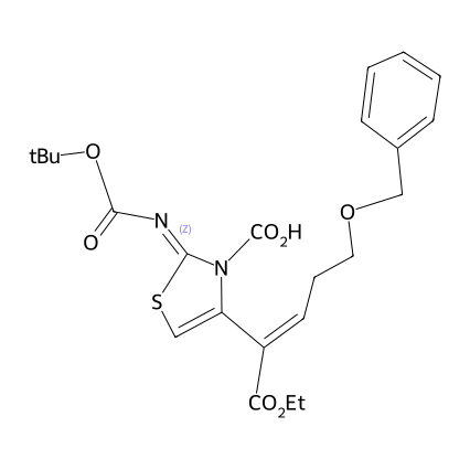 CCOC(=O)C(=CCCOCc1ccccc1)c1cs/c(=N\C(=O)OC(C)(C)C)n1C(=O)O